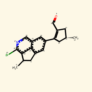 CC1Cc2cc(C3=C(C=O)C[C@H](C)C3)cc3cnc(Br)c1c23